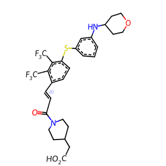 O=C(O)CC1CCN(C(=O)/C=C/c2ccc(Sc3cccc(NC4CCOCC4)c3)c(C(F)(F)F)c2C(F)(F)F)CC1